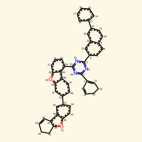 C1=CC(c2nc(-c3ccc4ccc(-c5ccccc5)cc4c3)nc(-c3cccc4oc5cc(-c6ccc7oc8c(c7c6)C=CCC8)ccc5c34)n2)=CCC1